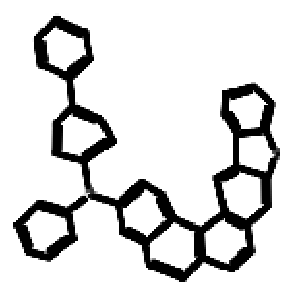 c1ccc(-c2ccc(N(c3ccccc3)c3ccc4c(ccc5ccc6cc7sc8ccccc8c7cc6c54)c3)cc2)cc1